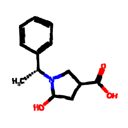 C[C@H](c1ccccc1)N1CC(C(=O)O)CC1O